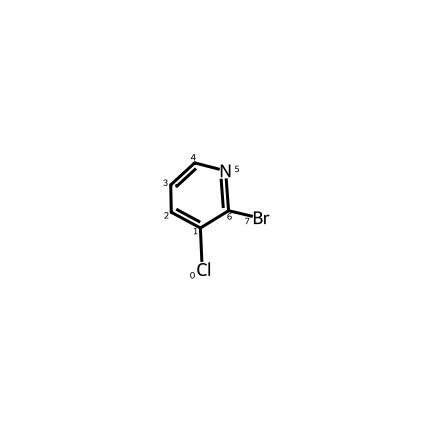 Clc1c[c]cnc1Br